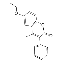 CCOc1ccc2oc(=O)c(-c3ccccc3)c(C)c2c1